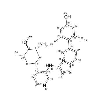 CO[C@H]1[C@H](N)C[C@H](c2ccncc2Nc2ncc3ccc(-c4c(F)cc(O)cc4F)nn23)C[C@@H]1C